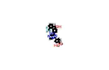 CC1(C)[C@H](c2nc(-c3ccc([C@@](C)(O)c4cccc(C(F)(F)F)c4)cc3)c3c(N)nccn23)CC[C@]1(C)C(=O)O